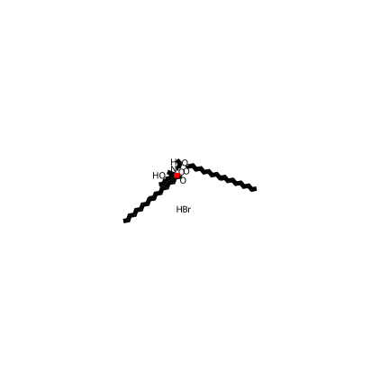 Br.CCCCCCCCC=CCCCCCCCC(=O)OC(C)C(NC(C)(C)CC(O)CC)OC(=O)CCCCCCCC=CCCCCCCCC